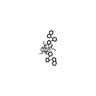 CCCC1=Cc2c(-c3ccccc3-c3cccc4ccccc34)cccc2[CH]1[Hf]([Cl])([Cl])([B](NC(=O)CC)NC(=O)CC)[CH]1C(CCC)=Cc2c(-c3ccccc3-c3cccc4ccccc34)cccc21